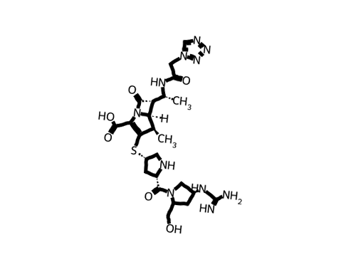 C[C@@H](NC(=O)Cn1cnnn1)[C@H]1C(=O)N2C(C(=O)O)=C(S[C@@H]3CN[C@H](C(=O)N4C[C@@H](NC(=N)N)CC4CO)C3)[C@H](C)[C@H]12